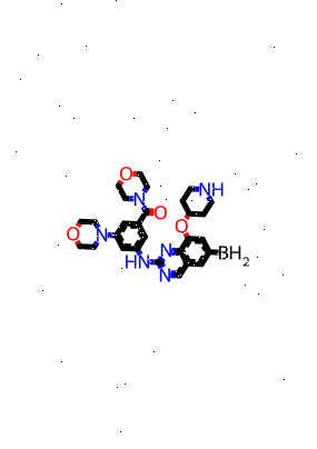 Bc1cc(OC2CCNCC2)c2nc(Nc3cc(C(=O)N4CCOCC4)cc(N4CCOCC4)c3)ncc2c1